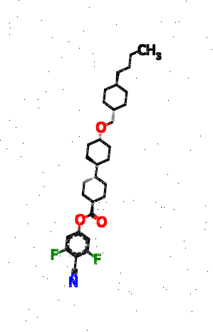 CCCC[C@H]1CC[C@H](CO[C@H]2CC[C@H]([C@H]3CC[C@H](C(=O)Oc4cc(F)c(C#N)c(F)c4)CC3)CC2)CC1